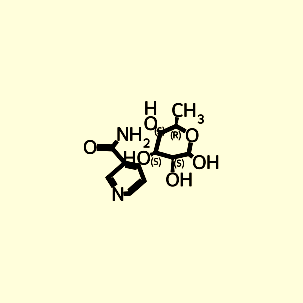 C[C@H]1OC(O)[C@@H](O)[C@@H](O)[C@@H]1O.NC(=O)c1cccnc1